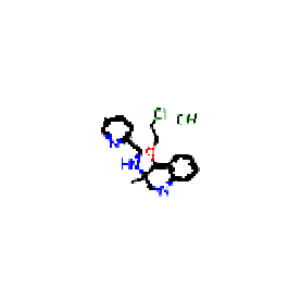 CC1(NCc2ccccn2)CN=c2ccccc2=C1OCCCl.Cl